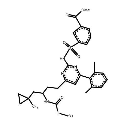 COC(=O)c1cccc(S(=O)(=O)Nc2nc(CCC(CC3(C(F)(F)F)CC3)NC(=O)OC(C)(C)C)cc(-c3c(C)cccc3C)n2)c1